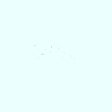 CCOc1ccc(C(=O)Nc2ccc(F)c([C@@]3(C)N=C(N)C(C)(C)S4(O)NCC[C@@H]34)c2)nc1